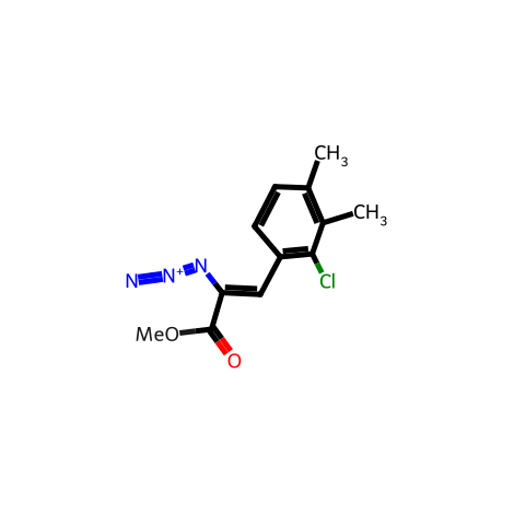 COC(=O)/C(=C/c1ccc(C)c(C)c1Cl)N=[N+]=[N-]